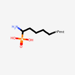 CCCCCCCCCC(N)P(=O)(O)O